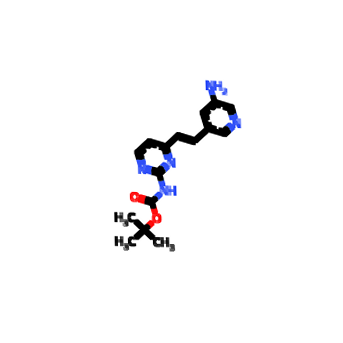 CC(C)(C)OC(=O)Nc1nccc(C=Cc2cncc(N)c2)n1